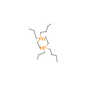 CCCC[PH]1(CCC)CC[PH](CCC)(CCCC)CC1